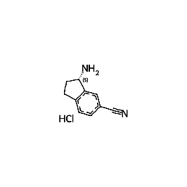 Cl.N#Cc1ccc2c(c1)[C@@H](N)CC2